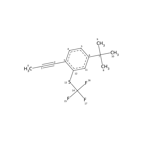 CC#Cc1ccc(C(C)(C)C)cc1SC(F)(F)F